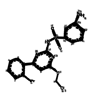 CC(C)c1ccccc1-c1cc(OCC(F)(F)F)nc(NS(=O)(=O)c2cccc(N)c2)n1